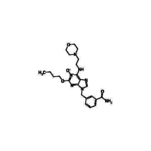 CCCCOc1nc2c(ncn2Cc2cccc(C(N)=O)c2)c(NCCN2CCOCC2)[n+]1[O-]